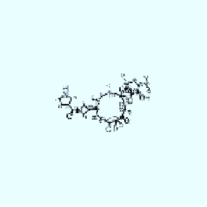 CO[C@]1(C)C[C@@H](C)CN(C)[C@H](C2CN(C(=O)C3CCNC3)C2)COC(=O)C(C)(C)C(=O)[C@H](C)[C@H]1O[C@@H]1O[C@H](C)C[C@H](N(C)C)[C@H]1O